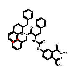 COC(=O)c1ccc(NC(=O)NC(Cc2ccccc2)C(=O)N(Cc2ccccc2)[C@@H]2c3ccccc3CC[C@H]2Cc2ccccc2)cc1C(=O)OC